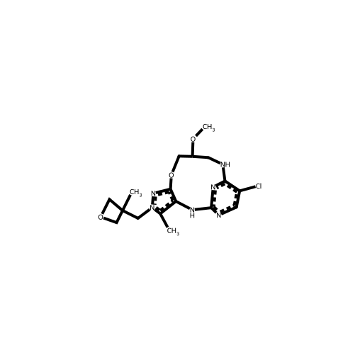 COC1CNc2nc(ncc2Cl)Nc2c(nn(CC3(C)COC3)c2C)OC1